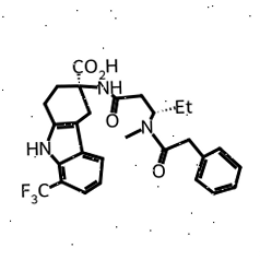 CC[C@@H](CC(=O)N[C@]1(C(=O)O)CCc2[nH]c3c(C(F)(F)F)cccc3c2C1)N(C)C(=O)Cc1ccccc1